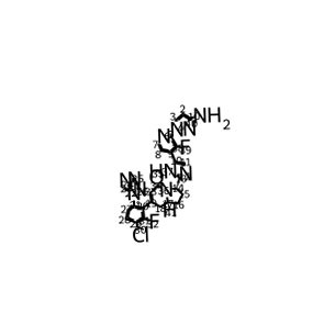 Nc1ccn(-c2nccc(-c3cnc([C@H]4CC[C@@H]5CC(c6c(-n7cnnn7)ccc(Cl)c6F)=CC(=O)N54)[nH]3)c2F)n1